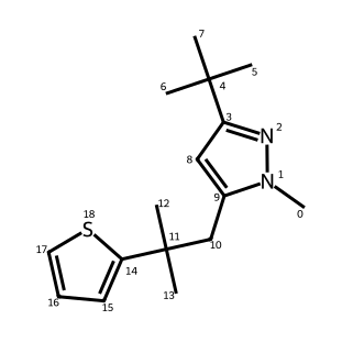 Cn1nc(C(C)(C)C)cc1CC(C)(C)c1cccs1